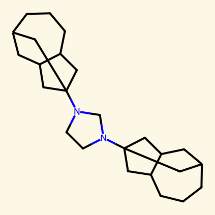 C1CC2CC3CC(N4CCN(C56CC7CCCC(C5)C(C7)C6)C4)(C2)CC3C1